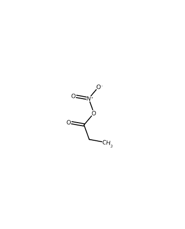 CCC(=O)O[N+](=O)[O-]